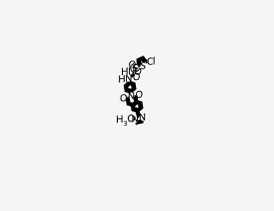 CN1CCN=C1c1ccc2c(c1)CC(=O)N(c1ccc(NC(=O)NS(=O)(=O)c3ccc(Cl)s3)cc1)C2=O